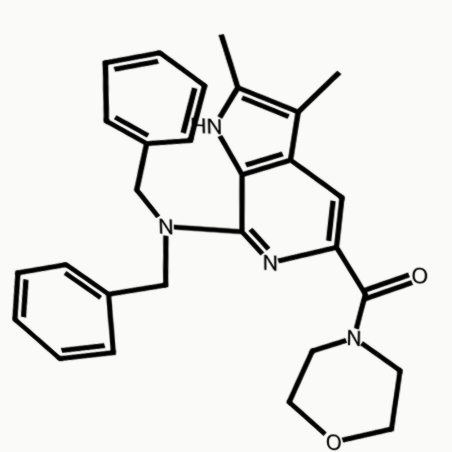 Cc1[nH]c2c(N(Cc3ccccc3)Cc3ccccc3)nc(C(=O)N3CCOCC3)cc2c1C